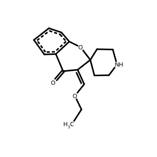 CCOC=C1C(=O)c2ccccc2OC12CCNCC2